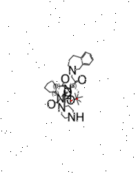 CC(C)C[C@H](NC(=O)[C@@H]1CCCC[C@@H]1N(C(=O)OC(C)(C)C)C(=O)N1CCNCC1)C(=O)CN1CCCc2ccccc2C1